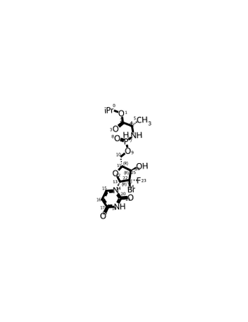 CC(C)OC(=O)[C@H](C)N[PH](=O)OC[C@H]1O[C@@H](n2ccc(=O)[nH]c2=O)[C@](F)(Br)[C@@H]1O